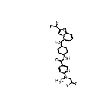 CN(CC(F)F)c1ccc(C(=O)NC2CCC(Nc3cccc4nc(C(F)F)cn34)CC2)cn1